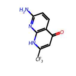 Nc1ccc2c(=O)cc(C(F)(F)F)[nH]c2n1